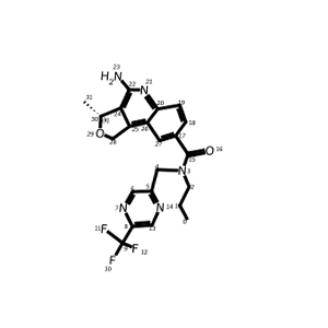 CCCN(Cc1cnc(C(F)(F)F)cn1)C(=O)c1ccc2nc(N)c3c(c2c1)CO[C@@H]3C